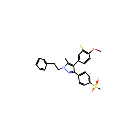 COc1ccc(-c2c(-c3ccc(S(C)(=O)=O)cc3)nn(CCc3ccccc3)c2C)cc1F